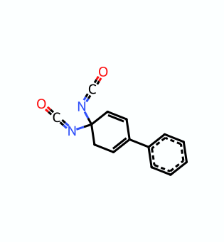 O=C=NC1(N=C=O)C=CC(c2ccccc2)=CC1